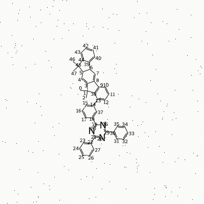 CC1(C)C2=CC3C(C=C2c2cccc(-c4cccc(-c5nc(-c6ccccc6)nc(-c6ccccc6)n5)c4)c21)c1ccccc1C3(C)C